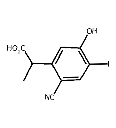 CC(C(=O)O)c1cc(O)c(I)cc1C#N